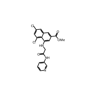 COC(=O)c1cc(NCC(=O)Nc2cccnc2)c2c(Cl)cc(Cl)cc2c1